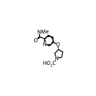 CNC(=O)c1ccc(O[C@H]2CCN(C(=O)O)C2)cn1